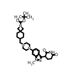 Cn1nc(C2CCC(=O)NC2=O)c2ccc(N3CCN(CC4CCC5(CC4)CN(C(=O)OC(C)(C)C)C5)CC3)cc21